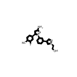 N#Cc1ccc(-c2cc(N)nn2-c2cccc(-c3cnn(CCO)c3)c2)cc1F